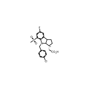 CS(=O)(=O)c1cc(F)cc2c1N(Cc1ccc(Cl)cc1)C1C2CC[C@@H]1CC(=O)O